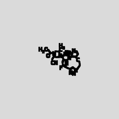 C=CC(=O)N1CC(C)N(c2nc(=O)n3c4nc(c(F)cc24)-c2cn(nn2)CCCCc2ccnc(C(C)C)c2-3)CC1CC#N